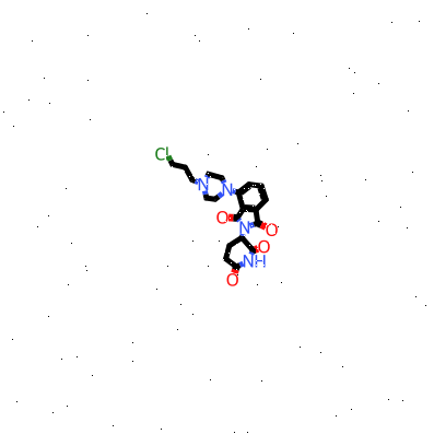 O=C1CCC(N2C(=O)c3cccc(N4CCN(CCCCl)CC4)c3C2=O)C(=O)N1